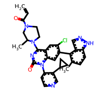 C=CC(=O)N1CCN(c2nc(=O)n(-c3ccncc3C3CC3)c3cc(-c4c(C)ccc5[nH]ncc45)c(Cl)cc23)C(C)C1